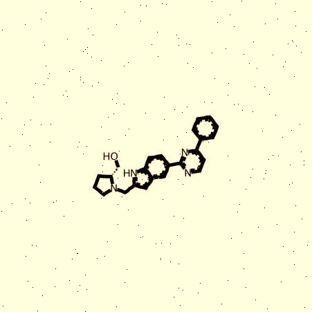 OC[C@H]1CCCN1Cc1cc2cc(-c3nccc(-c4ccccc4)n3)ccc2[nH]1